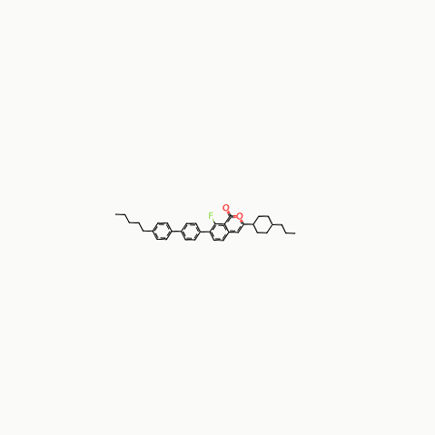 CCCCCc1ccc(-c2ccc(-c3ccc4cc(C5CCC(CCC)CC5)oc(=O)c4c3F)cc2)cc1